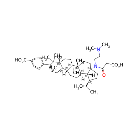 C=C(C)[C@@H]1CC[C@]2(N(CCN(C)C)C(=O)CC(=O)O)CC[C@]3(C)[C@H](CC[C@@H]4[C@@]5(C)CC=C(c6ccc(C(=O)O)cc6)C(C)(C)[C@@H]5CC[C@]43C)[C@@H]12